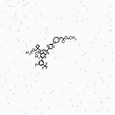 CCOC(=O)CN1CCCN(c2cnc(-c3nc4nc(-c5cc(F)cc(C(F)(F)F)c5)cc(N(C)CC5(COC)CCC5)c4[nH]3)cn2)CC1